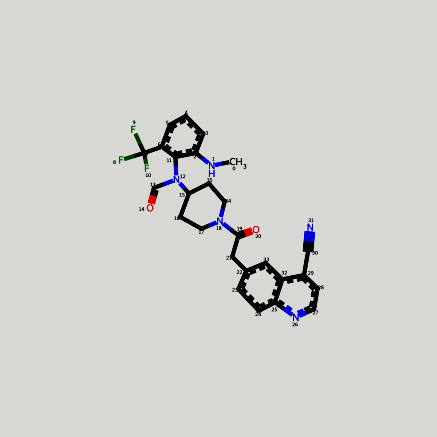 CNc1cccc(C(F)(F)F)c1N(C=O)C1CCN(C(=O)Cc2ccc3nccc(C#N)c3c2)CC1